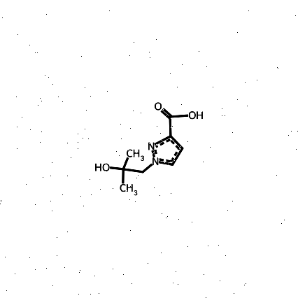 CC(C)(O)Cn1ccc(C(=O)O)n1